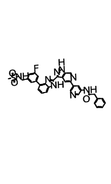 CS(=O)(=O)NCc1cc(F)cc(-c2cccc3[nH]c(-c4n[nH]c5cnc(-c6cncc(NC(=O)Cc7ccccc7)c6)cc45)nc23)c1